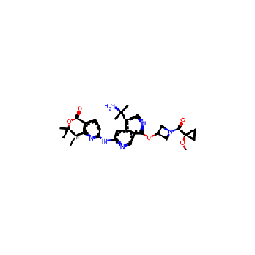 COC1(C(=O)N2CC(Oc3ncc(C(C)(C)N)c4cc(Nc5ccc6c(n5)[C@@H](C)C(C)(C)OC6=O)ncc34)C2)CC1